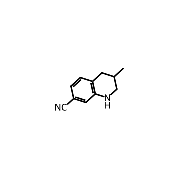 CC1CNc2cc(C#N)ccc2C1